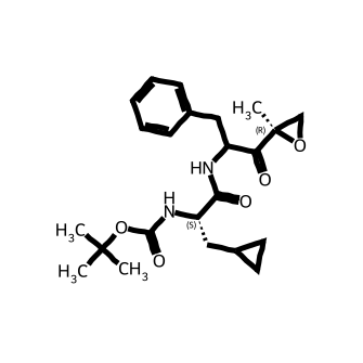 CC(C)(C)OC(=O)N[C@@H](CC1CC1)C(=O)NC(Cc1ccccc1)C(=O)[C@@]1(C)CO1